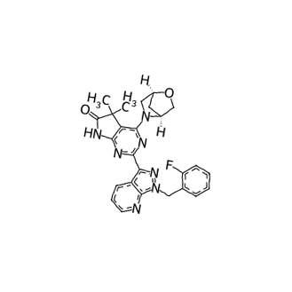 CC1(C)C(=O)Nc2nc(-c3nn(Cc4ccccc4F)c4ncccc34)nc(N3C[C@@H]4C[C@H]3CO4)c21